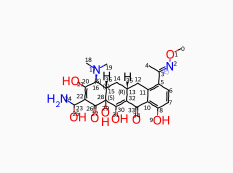 CO/N=C(\C)c1ccc(O)c2c1C[C@H]1C[C@H]3[C@H](N(C)C)C(O)=C(C(N)O)C(=O)[C@@]3(O)C(O)=C1C2=O